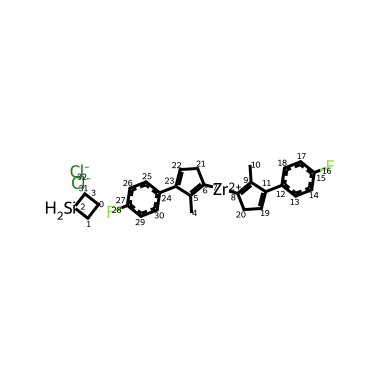 C1C[SiH2]C1.CC1=[C]([Zr+2][C]2=C(C)C(c3ccc(F)cc3)=CC2)CC=C1c1ccc(F)cc1.[Cl-].[Cl-]